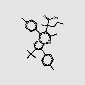 CCCC(C)(C(=O)O)c1c(C)nc2c(-c3ccc(C)cc3)c(C(C)(C)C)nn2c1-c1ccc(C)cc1